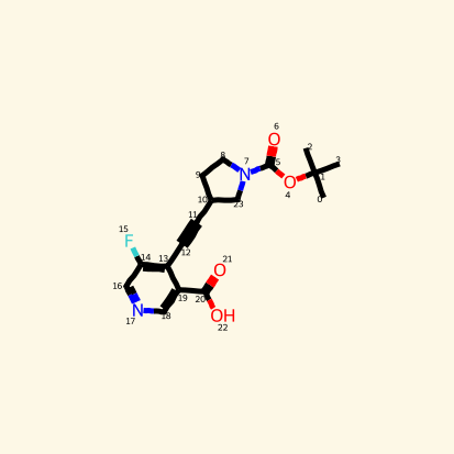 CC(C)(C)OC(=O)N1CCC(C#Cc2c(F)cncc2C(=O)O)C1